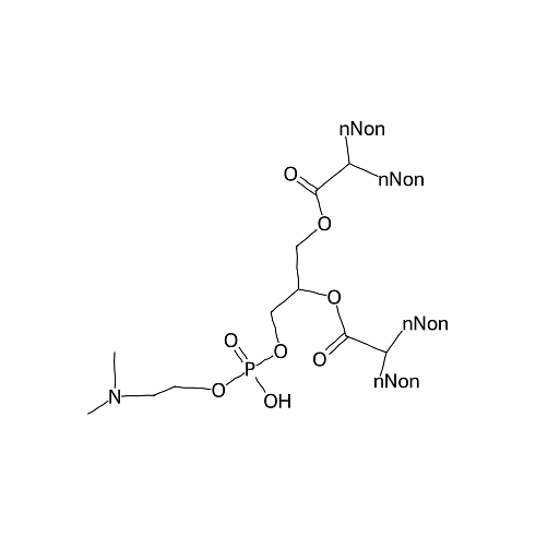 CCCCCCCCCC(CCCCCCCCC)C(=O)OCC(COP(=O)(O)OCCN(C)C)OC(=O)C(CCCCCCCCC)CCCCCCCCC